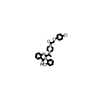 CC(c1nc2ccccc2c(=O)n1-c1ccccc1O)N1CCN(C(=O)COc2ccc(Cl)cc2)CC1